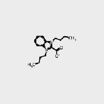 CCCCn1c(C(=O)[O-])[n+](CCCC)c2ccccc21